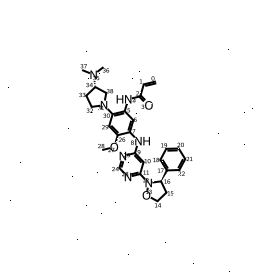 C=CC(=O)Nc1cc(Nc2cc(N3OCC[C@@H]3c3ccccc3)ncn2)c(OC)cc1N1CC[C@H](N(C)C)C1